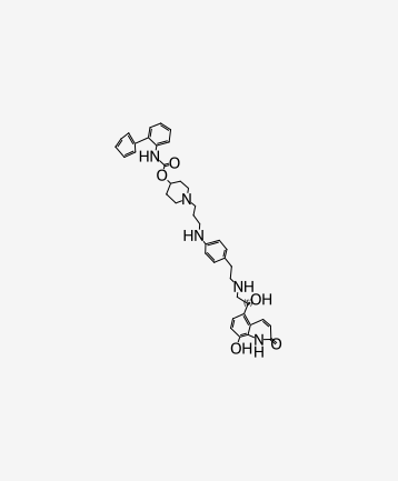 O=C(Nc1ccccc1-c1ccccc1)OC1CCN(CCCNc2ccc(CCNC[C@@H](O)c3ccc(O)c4[nH]c(=O)ccc34)cc2)CC1